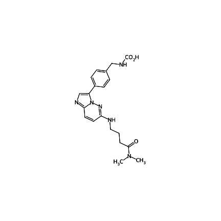 CN(C)C(=O)CCCNc1ccc2ncc(-c3ccc(CNC(=O)O)cc3)n2n1